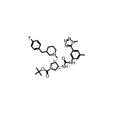 Cc1cc(NC(=O)N[C@@H]2CN(C(=O)OC(C)(C)C)C[C@@H]2CN2CCCC(Cc3ccc(F)cc3)C2)cc(-c2nnnn2C)c1